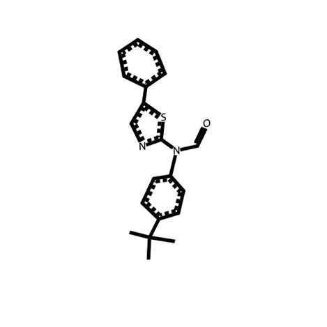 CC(C)(C)c1ccc(N(C=O)c2ncc(-c3ccccc3)s2)cc1